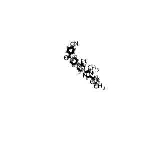 CC[C@H]1CN(c2ncc(-c3nnc(C)o3)nc2C)CCN1C1CCN(C(=O)c2ccc(C#N)cc2)CC1